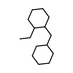 CCC1CCCC[C]1CC1CCCCC1